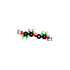 CCOc1ccc(-c2ccc(OCC3CCC(c4ccc(OCC)c(F)c4F)CC3)c(F)c2F)c(F)c1F